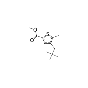 COC(=O)c1cc(CC(C)(C)C)c(C)s1